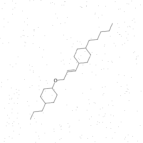 CCCCCC1CCC(C=CCOC2CCC(CCC)CC2)CC1